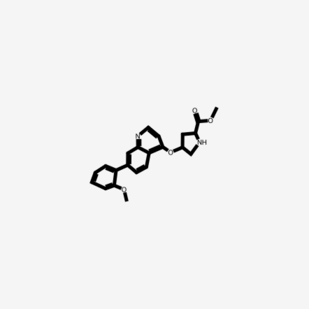 COC(=O)C1CC(Oc2ccnc3cc(-c4ccccc4OC)ccc23)CN1